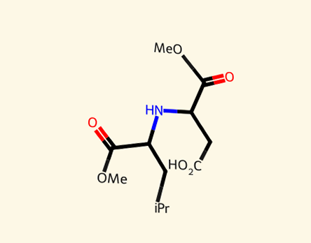 COC(=O)C(CC(=O)O)NC(CC(C)C)C(=O)OC